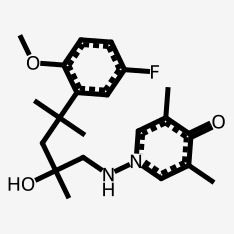 COc1ccc(F)cc1C(C)(C)CC(C)(O)CNn1cc(C)c(=O)c(C)c1